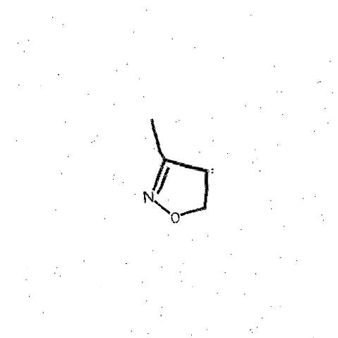 CC1=NOC[C]1